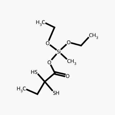 CCO[Si](C)(OCC)OC(=O)C(S)(S)CC